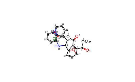 COC(=O)C1=C(C(=O)OC)C2(C(Cc3cccnc3Cl)Nc3ccccc3)C=CC1O2